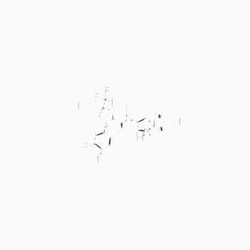 COc1c([C@H]2C[C@@](C)(C(F)(F)F)O[C@@H]2C(=O)Nc2cn(S(C)(=O)=O)nc2C)ccc(F)c1F